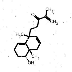 C=C(C)C(=O)CCC1(C)C=CCC2(C)C1=CCC[C@H]2O